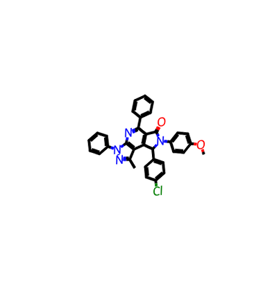 COc1ccc(N2C(=O)c3c(-c4ccccc4)nc4c(c(C)nn4-c4ccccc4)c3C2c2ccc(Cl)cc2)cc1